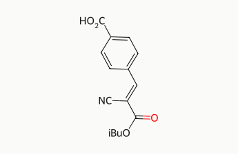 CC(C)COC(=O)/C(C#N)=C/c1ccc(C(=O)O)cc1